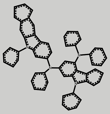 c1ccc(N(c2ccc3c4cc5ccccc5cc4n(-c4ccccc4)c3c2)c2cc(N(c3ccccc3)c3ccccc3)c3c4ccccc4n(-c4ccccc4)c3c2)cc1